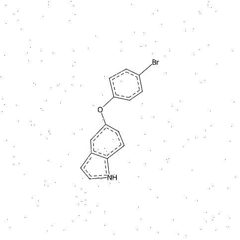 Brc1ccc(Oc2ccc3[nH]ccc3c2)cc1